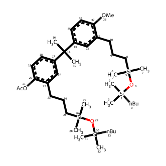 CCCC[Si](C)(C)O[Si](C)(C)CCCc1cc(C(C)(C)c2ccc(OC(C)=O)c(CCC[Si](C)(C)O[Si](C)(C)CCCC)c2)ccc1OC